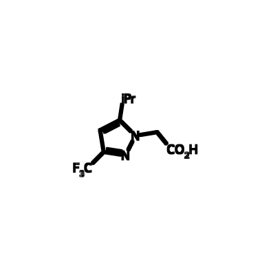 CC(C)c1cc(C(F)(F)F)nn1CC(=O)O